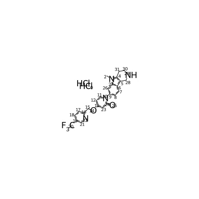 Cl.Cl.Cn1c2c(c3ccc(-n4ccc(OCc5ccc(C(F)(F)F)cn5)cc4=O)cc31)CNCC2